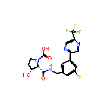 O=C(NCc1cc(F)cc(-c2cnc(C(F)(F)F)cn2)c1)[C@@H]1[C@H](O)CCN1C(=O)O